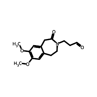 COc1cc2c(cc1OC)CC(=O)N(CCC=O)CC2